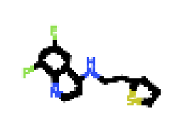 Fc1cc(F)c2nccc(NCCc3cccs3)c2c1